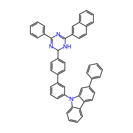 c1ccc(C2=NC(c3ccc(-c4cccc(-n5c6ccccc6c6ccc(-c7ccccc7)cc65)c4)cc3)NC(c3ccc4ccccc4c3)=N2)cc1